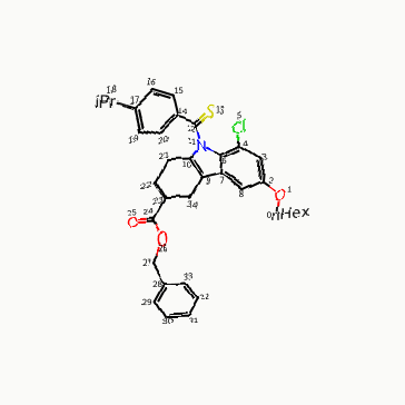 CCCCCCOc1cc(Cl)c2c(c1)c1c(n2C(=S)c2ccc(C(C)C)cc2)CCC(C(=O)OCc2ccccc2)C1